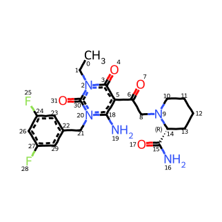 CCn1c(=O)c(C(=O)CN2CCCC[C@@H]2C(N)=O)c(N)n(Cc2cc(F)cc(F)c2)c1=O